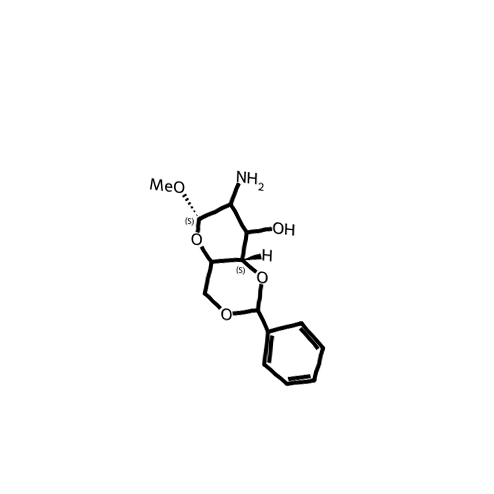 CO[C@H]1OC2COC(c3ccccc3)O[C@H]2C(O)C1N